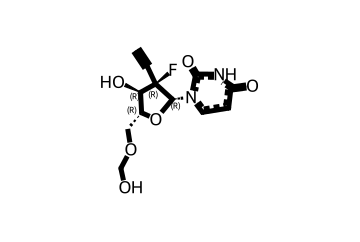 C#C[C@@]1(F)[C@H](O)[C@@H](COCO)O[C@H]1n1ccc(=O)[nH]c1=O